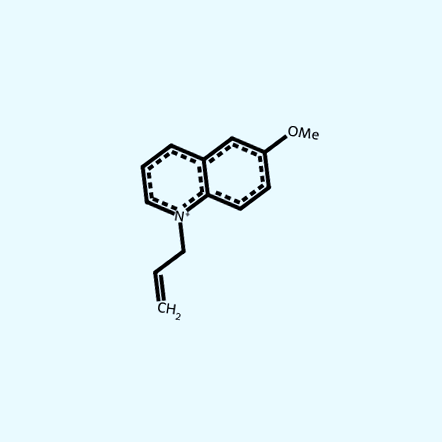 C=CC[n+]1cccc2cc(OC)ccc21